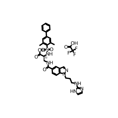 Cc1cc(-c2ccccc2)cc(C)c1S(=O)(=O)N[C@@H](CNC(=O)c1ccc2c(cnn2CCCNc2ncc[nH]2)c1)C(=O)O.O=C(O)C(F)(F)F